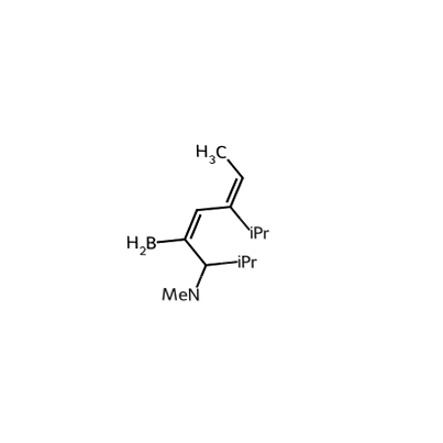 B/C(=C/C(=C\C)C(C)C)C(NC)C(C)C